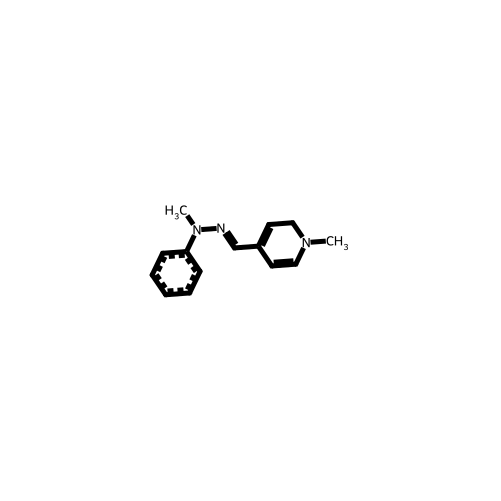 CN1C=CC(/C=N/N(C)c2ccccc2)=CC1